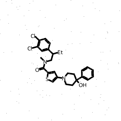 CCC(CN(C)C(=O)c1cc(N2CCC(O)(c3ccccc3)CC2)cs1)c1ccc(Cl)c(Cl)c1